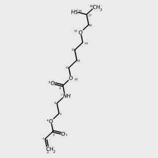 C=CC(=O)OCCNC(=O)OCCCCOCC(C)S